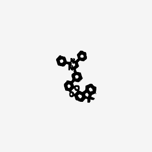 CC1(C)c2ccccc2-c2c1ccc1c2Oc2c(cccc2-c2cccc(-c3cc(-c4ccccc4)nc(-c4ccccc4)n3)c2)O1